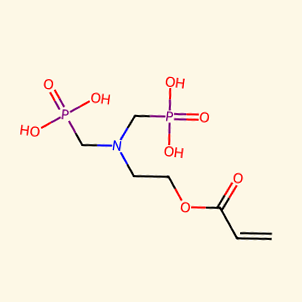 C=CC(=O)OCCN(CP(=O)(O)O)CP(=O)(O)O